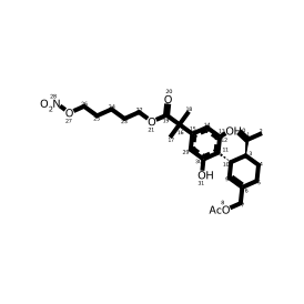 C=C(C)[C@H]1CCC(COC(C)=O)=C[C@@H]1c1c(O)cc(C(C)(C)C(=O)OCCCCCO[N+](=O)[O-])cc1O